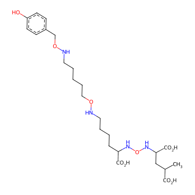 CC(CC(NONC(CCCCNOCCCCCNOCc1ccc(O)cc1)C(=O)O)C(=O)O)C(=O)O